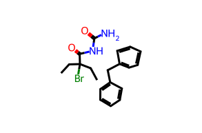 CCC(Br)(CC)C(=O)NC(N)=O.c1ccc(Cc2ccccc2)cc1